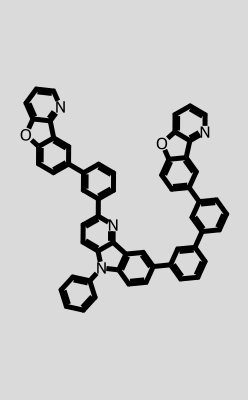 c1ccc(-n2c3ccc(-c4cccc(-c5cccc(-c6ccc7oc8cccnc8c7c6)c5)c4)cc3c3nc(-c4cccc(-c5ccc6oc7cccnc7c6c5)c4)ccc32)cc1